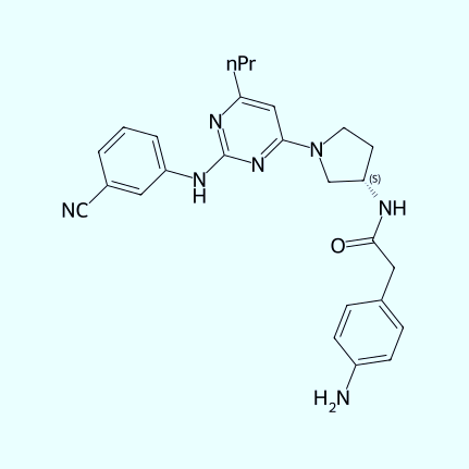 CCCc1cc(N2CC[C@H](NC(=O)Cc3ccc(N)cc3)C2)nc(Nc2cccc(C#N)c2)n1